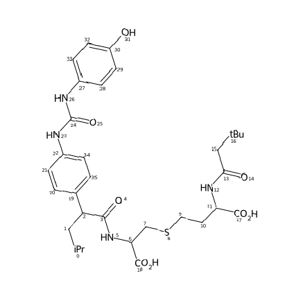 CC(C)CC(C(=O)NC(CSCCC(NC(=O)CC(C)(C)C)C(=O)O)C(=O)O)c1ccc(NC(=O)Nc2ccc(O)cc2)cc1